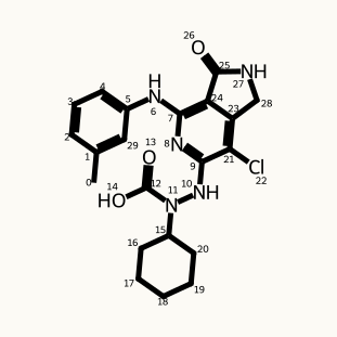 Cc1cccc(Nc2nc(NN(C(=O)O)C3CCCCC3)c(Cl)c3c2C(=O)NC3)c1